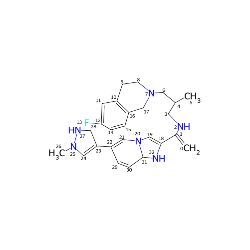 C=C(NCC(C)CN1CCc2cc(F)ccc2C1)C1=CN2C=C(C3=CN(C)NC3)C=CC2N1